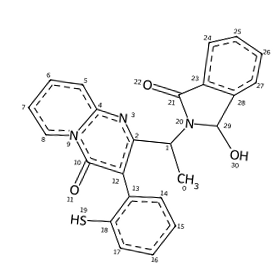 CC(c1nc2ccccn2c(=O)c1-c1ccccc1S)N1C(=O)c2ccccc2C1O